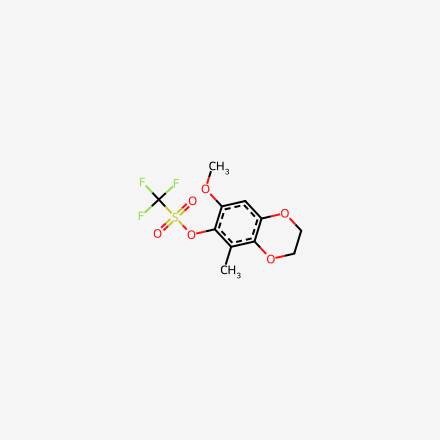 COc1cc2c(c(C)c1OS(=O)(=O)C(F)(F)F)OCCO2